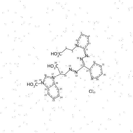 O=C(O)CCn1ccccc1=NN=C(N=NCC(C(=O)O)[n+]1cn(C(=O)O)c2ccccc21)c1ccccc1.[Cl-]